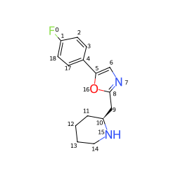 Fc1ccc(-c2cnc(C[C@@H]3CCCCN3)o2)cc1